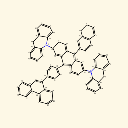 C1=Cc2ccc(-c3c4c(c(-c5ccc(-c6cc7ccccc7c7ccccc67)cc5)c5ccc(N6c7ccccc7Cc7ccccc76)cc35)=CC(N3c5ccccc5Cc5ccccc53)CC=4)cc2CC1